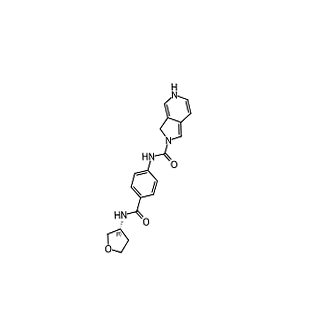 O=C(N[C@@H]1CCOC1)c1ccc(NC(=O)N2C=C3C=CNC=C3C2)cc1